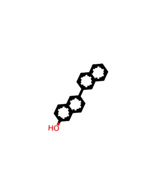 Oc1ccc2cc(-c3ccc4ccccc4c3)ccc2c1